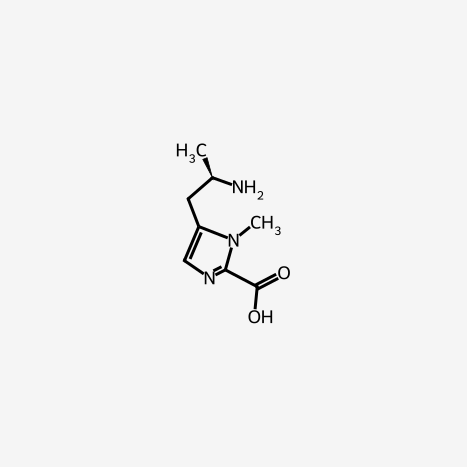 C[C@@H](N)Cc1cnc(C(=O)O)n1C